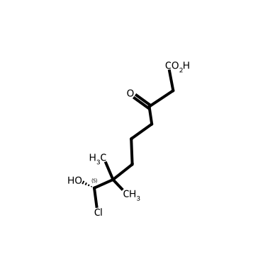 CC(C)(CCCC(=O)CC(=O)O)[C@@H](O)Cl